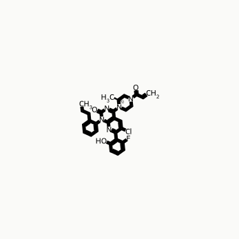 C=CC(=O)N1CCN(c2nc(=O)n(-c3ccccc3CCC)c3nc(-c4c(O)cccc4F)c(Cl)cc23)[C@@H](C)C1